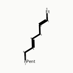 CC/C=C/C/C=C/CCCCCC